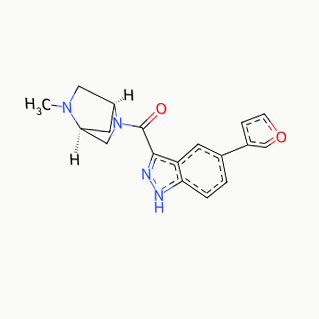 CN1C[C@@H]2C[C@H]1CN2C(=O)c1n[nH]c2ccc(-c3ccoc3)cc12